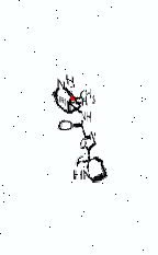 C[C@H]1[C@H](NC(=O)c2ncc(C3(F)C=CC=CN3)o2)C2CCN1CC2